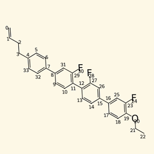 C=CCCc1ccc(-c2ccc(-c3ccc(-c4ccc(OCC)c(F)c4)cc3F)c(F)c2)cc1